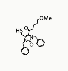 COCCCCC(=O)c1c(CS)n(Cc2ccccc2)c(=O)n1Cc1ccccc1